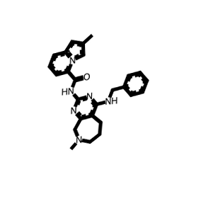 Cc1cc2cccc(C(=O)Nc3nc4c(c(NCc5ccccc5)n3)CCCN(C)C4)n2c1